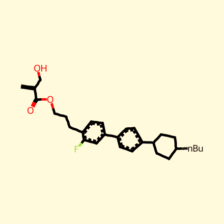 C=C(CO)C(=O)OCCCc1ccc(-c2ccc(C3CCC(CCCC)CC3)cc2)cc1F